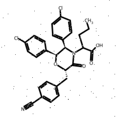 CCCC(C(=O)O)N1C(=O)[C@H](Cc2ccc(C#N)cc2)O[C@@H](c2ccc(Cl)cc2)[C@H]1c1ccc(Cl)cc1